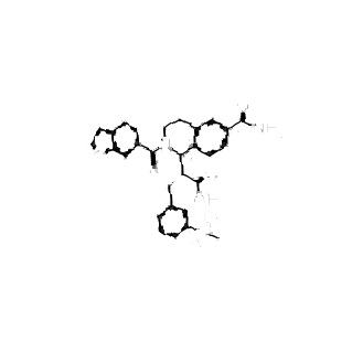 CS(=O)(=O)c1cccc(C[C@H](C(=O)O)C2c3ccc(C(N)=O)cc3CCN2C(=O)c2ccc3ccoc3c2)c1